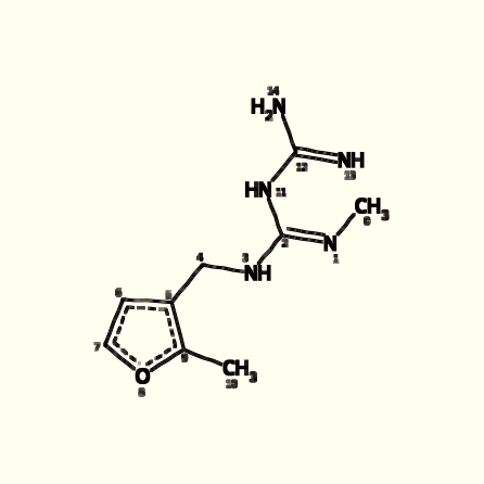 C/N=C(/NCc1ccoc1C)NC(=N)N